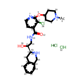 CC(=O)N1CCC(Oc2nccc(C(=O)NCC(O)[C@@H]3Cc4ccccc4CN3)c2Cl)CC1.Cl.Cl